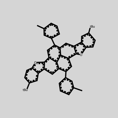 Cc1cccc(-c2cc3c4oc5ccc(C(C)(C)C)cc5c4cc4c(-c5cccc(C)c5)cc5c6oc7ccc(C(C)(C)C)cc7c6cc2c5c43)c1